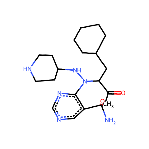 CC(=O)C(CC1CCCCC1)N(NC1CCNCC1)c1ncncc1C(N)=O